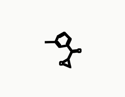 Cc1cccc(C(=O)C2CO2)c1